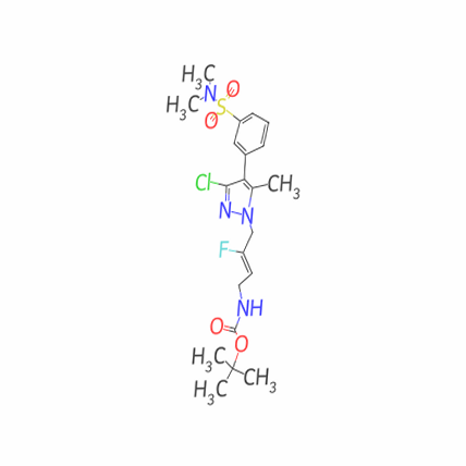 Cc1c(-c2cccc(S(=O)(=O)N(C)C)c2)c(Cl)nn1C/C(F)=C/CNC(=O)OC(C)(C)C